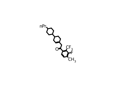 CCCC1CCC(C2CC=C(CC(=O)c3ccc(C)c(F)c3C(F)(F)F)CC2)CC1